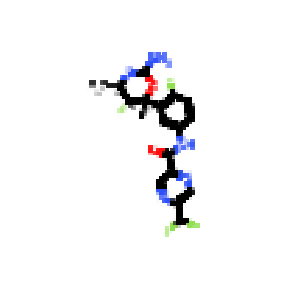 C[C@]1(c2cc(NC(=O)c3cnc(C(F)F)cn3)ccc2F)OC(N)=N[C@H](C(F)(F)F)[C@H]1F